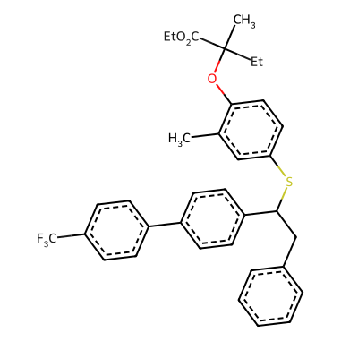 CCOC(=O)C(C)(CC)Oc1ccc(SC(Cc2ccccc2)c2ccc(-c3ccc(C(F)(F)F)cc3)cc2)cc1C